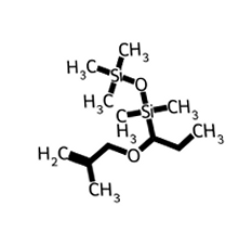 C=C(C)COC(CC)[Si](C)(C)O[Si](C)(C)C